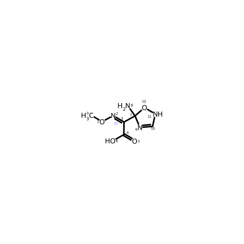 CO/N=C(\C(=O)O)C1(N)N=CNO1